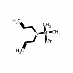 C=CCN(CC=C)[N+](C)(C)CCC